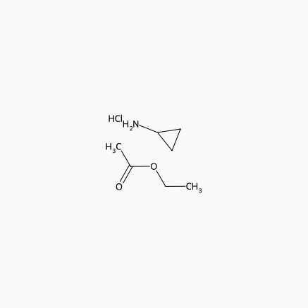 CCOC(C)=O.Cl.NC1CC1